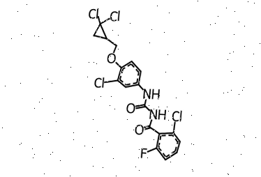 O=C(NC(=O)c1c(F)cccc1Cl)Nc1ccc(OCC2CC2(Cl)Cl)c(Cl)c1